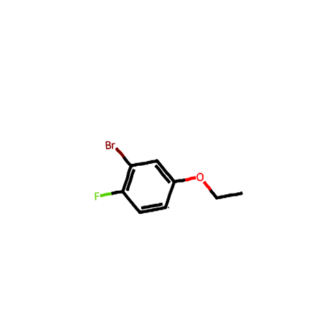 CCOc1[c]cc(F)c(Br)c1